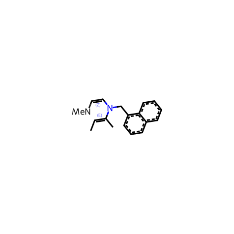 C/C=C(\C)N(/C=C\NC)Cc1cccc2ccccc12